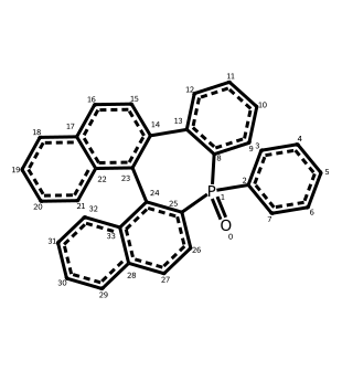 O=P1(c2ccccc2)c2ccccc2-c2ccc3ccccc3c2-c2c1ccc1ccccc21